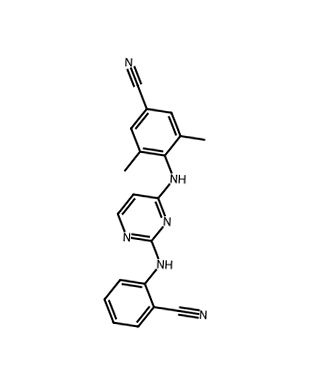 Cc1cc(C#N)cc(C)c1Nc1ccnc(Nc2ccccc2C#N)n1